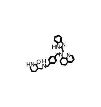 O=C1NCCCC1CNCc1ccc(CN(Cc2nc3ccccc3[nH]2)C2CCCc3cccnc32)cc1